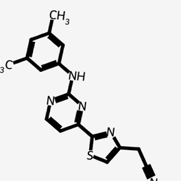 Cc1cc(C)cc(Nc2nccc(-c3nc(CC#N)cs3)n2)c1